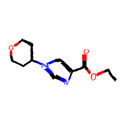 CCOC(=O)c1cn(C2CCOCC2)cn1